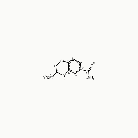 CCCCCC1COc2ccc(C(N)=O)cc2O1